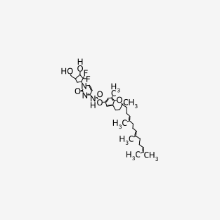 CC(C)=CCC/C(C)=C/CC/C(C)=C/CCC1(C)CCc2cc(OC(=O)Nc3ccn(C4CC(CO)C(O)C4(F)F)c(=O)n3)cc(C)c2O1